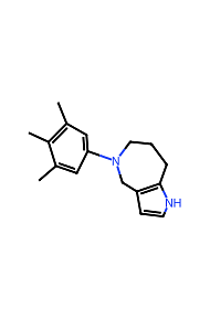 Cc1cc(N2CCCc3[nH]ccc3C2)cc(C)c1C